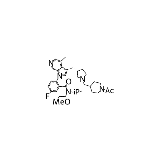 COCCN(C(=O)c1cc(F)ccc1-n1cc(C[C@@H]2CCN(CC3CCN(C(C)=O)CC3)C2)c2c(C)cncc21)C(C)C